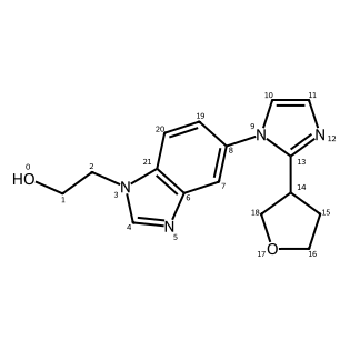 OCCn1cnc2cc(-n3ccnc3C3CCOC3)ccc21